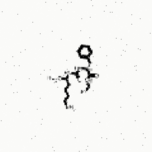 CC(C)CNC(=O)[C@@H](Cc1ccccc1)NC(=O)NC(CCCCN)C(=O)O